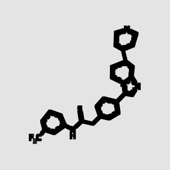 FC(F)(F)c1cccc(NC(=S)Cc2ccc(-c3cnc4cc(-c5ccncc5)ccn34)cc2)c1